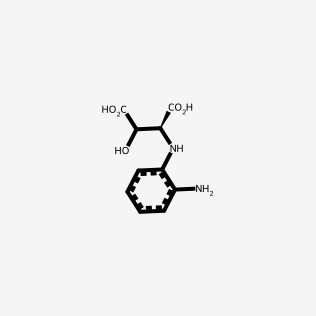 Nc1ccccc1N[C@H](C(=O)O)C(O)C(=O)O